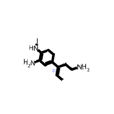 C/C=C(\CCN)C1=CC(N)=C(NI)CC1